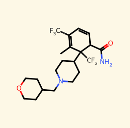 CC1=C(C(F)(F)F)C=CC(C(N)=O)C1(C1CCN(CC2CCOCC2)CC1)C(F)(F)F